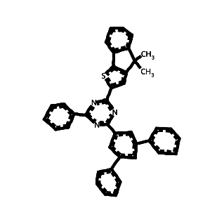 CC1(C)c2ccccc2-c2sc(-c3nc(-c4ccccc4)nc(-c4cc(-c5ccccc5)cc(-c5ccccc5)c4)n3)cc21